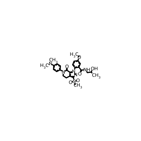 COc1ccc(-n2nc(S(C)(=O)=O)c3c2C(=O)N(c2ccc(N(C)C)cc2)CC3)c(C(=O)NCC(C)O)c1